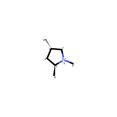 C[C@H]1C[C@H](C)N(C)C1